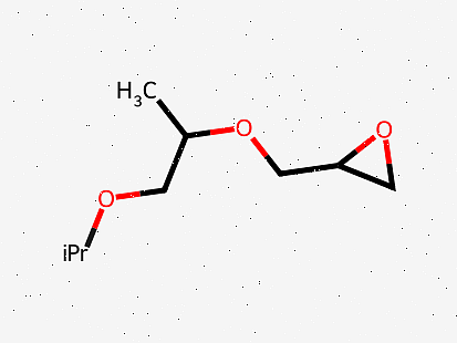 [CH2]C(C)OCC(C)OCC1CO1